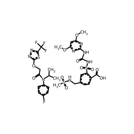 CC(C)N(C(=O)COc1nnc(C(F)(F)F)s1)c1ccc(F)cc1.COc1cc(OC)nc(NC(=O)NS(=O)(=O)c2cc(CNS(C)(=O)=O)ccc2C(=O)O)n1